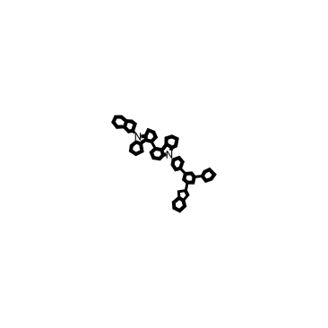 C1=C(c2cc(-c3ccccc3)cc(-c3ccc(-n4c5ccccc5c5c(-c6cccc7c6c6ccccc6n7-c6ccc7ccccc7c6)cccc54)cc3)c2)Cc2ccccc21